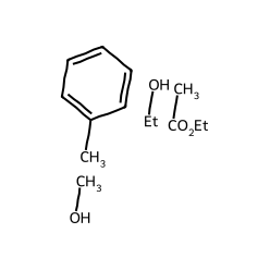 CCO.CCOC(C)=O.CO.Cc1ccccc1